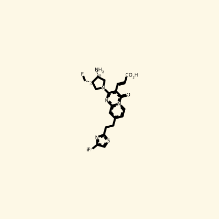 CC(C)c1csc(CCc2ccn3c(=O)c(C=CC(=O)O)c(N4C[C@H](CF)[C@H](N)C4)nc3c2)n1